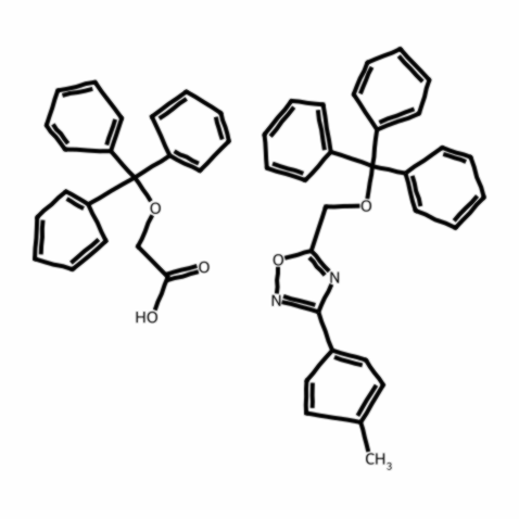 Cc1ccc(-c2noc(COC(c3ccccc3)(c3ccccc3)c3ccccc3)n2)cc1.O=C(O)COC(c1ccccc1)(c1ccccc1)c1ccccc1